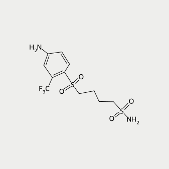 Nc1ccc(S(=O)(=O)CCCCS(N)(=O)=O)c(C(F)(F)F)c1